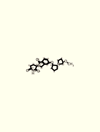 CO[C@@H]1CCN(C2CCCC2Oc2ccc3c(c2)CN(C2CCC(=O)NC2=O)C3=O)C1